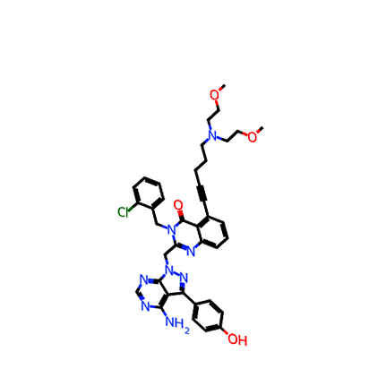 COCCN(CCCC#Cc1cccc2nc(Cn3nc(-c4ccc(O)cc4)c4c(N)ncnc43)n(Cc3ccccc3Cl)c(=O)c12)CCOC